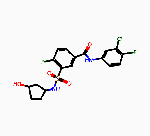 O=C(Nc1ccc(F)c(Cl)c1)c1ccc(F)c(S(=O)(=O)NC2CCC(O)C2)c1